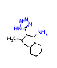 CC(CC1CCCCC1)C(CN)c1nnn[nH]1